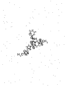 Cc1nnc(-c2ccc(S(=O)(=O)N3CCN(S(C)(=O)=O)C[C@@H]3C(=O)NOC3CCCCO3)s2)o1